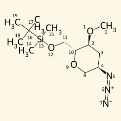 CO[C@H]1C[C@@H](N=[N+]=[N-])CO[C@@H]1CO[Si](C)(C)C(C)(C)C